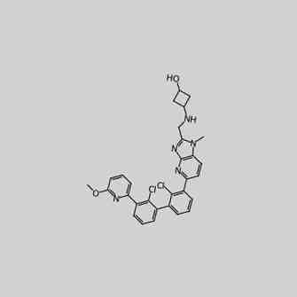 COc1cccc(-c2cccc(-c3cccc(-c4ccc5c(n4)nc(CNC4CC(O)C4)n5C)c3Cl)c2Cl)n1